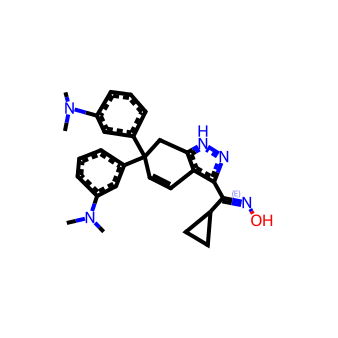 CN(C)c1cccc(C2(c3cccc(N(C)C)c3)C=Cc3c(/C(=N/O)C4CC4)n[nH]c3C2)c1